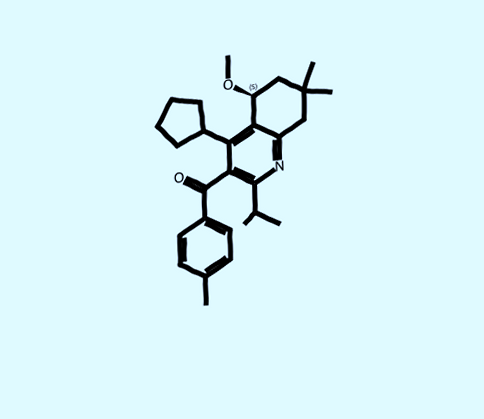 CO[C@H]1CC(C)(C)Cc2nc(C(C)C)c(C(=O)c3ccc(C)cc3)c(C3CCCC3)c21